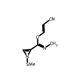 C/N=C(\O/C=C/C#N)C1=CN1SC